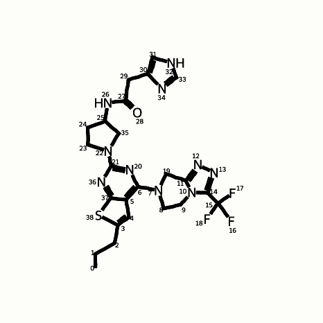 CCCc1cc2c(N3CCn4c(nnc4C(F)(F)F)C3)nc(N3CCC(NC(=O)Cc4c[nH]cn4)C3)nc2s1